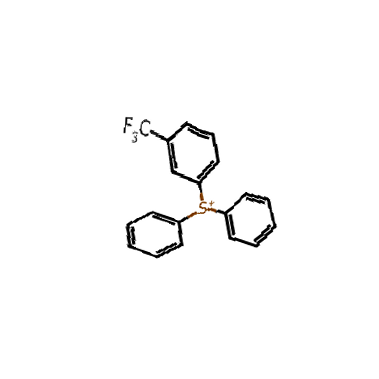 FC(F)(F)c1cccc([S+](c2ccccc2)c2ccccc2)c1